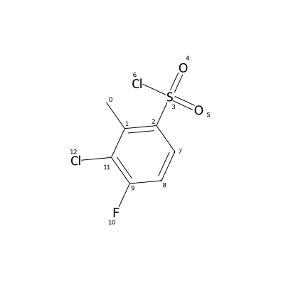 Cc1c(S(=O)(=O)Cl)ccc(F)c1Cl